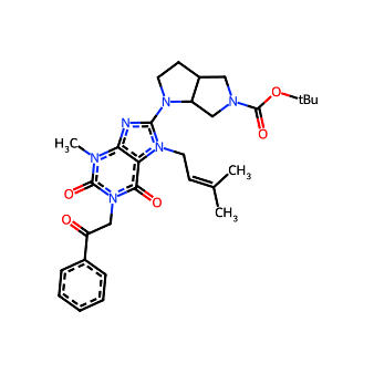 CC(C)=CCn1c(N2CCC3CN(C(=O)OC(C)(C)C)CC32)nc2c1c(=O)n(CC(=O)c1ccccc1)c(=O)n2C